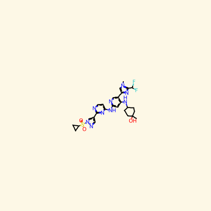 Cn1cc(-c2cnc(Nc3ccnc(-c4cnn(S(=O)(=O)C5CC5)c4)n3)cc2NC2CCC(C)(O)CC2)nc1C(F)F